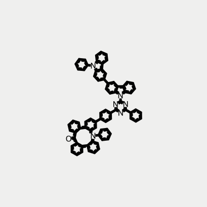 O=c1c2ccccc2c2ccccc2n(-c2ccccc2)c2cc(-c3ccc(-c4nc(-c5ccccc5)nc(-n5c6ccccc6c6cc(-c7ccc8c(c7)c7ccccc7n8-c7ccccc7)ccc65)n4)cc3)ccc2c2ccccc12